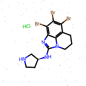 Brc1c(Br)c2c3c(nc(N[C@H]4CCNC4)n3CCC2)c1Br.Cl